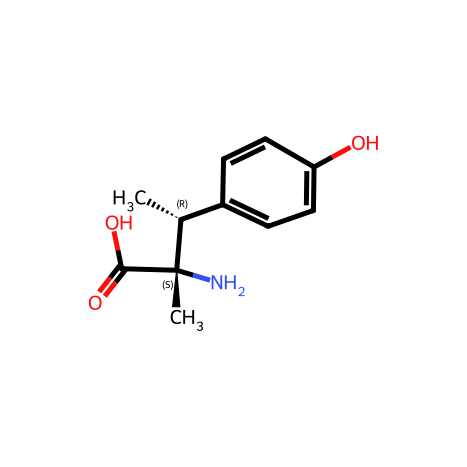 C[C@H](c1ccc(O)cc1)[C@](C)(N)C(=O)O